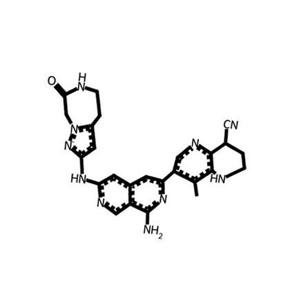 Cc1c(-c2cc3cc(Nc4cc5n(n4)CC(=O)NCC5)ncc3c(N)n2)cnc2c1NCCC2C#N